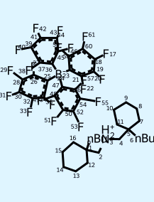 CCCCC1(C[NH2+]CC2(CCCC)CCCCC2)CCCCC1.Fc1c(F)c(F)c([B-](c2c(F)c(F)c(F)c(F)c2F)(c2c(F)c(F)c(F)c(F)c2F)c2c(F)c(F)c(F)c(F)c2F)c(F)c1F